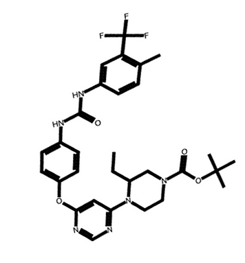 CCC1CN(C(=O)OC(C)(C)C)CCN1c1cc(Oc2ccc(NC(=O)Nc3ccc(C)c(C(F)(F)F)c3)cc2)ncn1